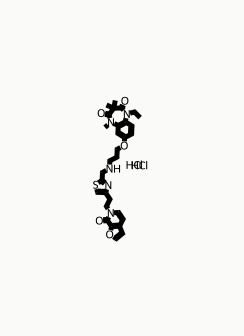 CCN1C(=O)C(C)(C)C(=O)N(C)c2cc(OCCCNCc3nc(CCn4ccc5ccoc5c4=O)cs3)ccc21.Cl.Cl